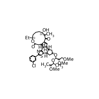 CC[C@H]1CCC[C@H](O)[C@@H](C)C(=O)C2=C[C@H]3[C@@H]4C[C@H](OC(OC(C)[C@@H](C)OC)[C@H](COC)OC)C[C@H]4c4sc(-c5cccc(Cl)c5)nc4[C@H]3[C@@H]2CC(=O)O1